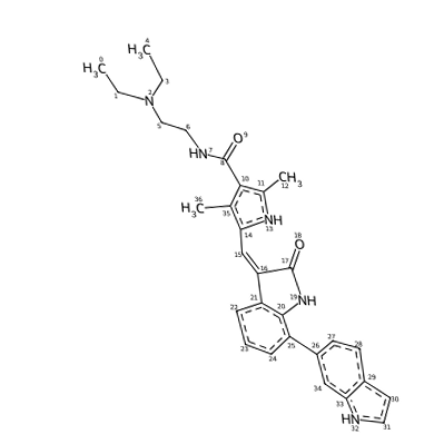 CCN(CC)CCNC(=O)c1c(C)[nH]c(/C=C2\C(=O)Nc3c2cccc3-c2ccc3cc[nH]c3c2)c1C